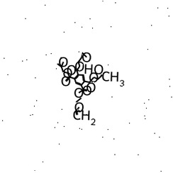 C=COCCOC(=O)c1cc(C(=O)OCC2CO2)c(C(=O)OCC2CO2)cc1C(=O)OCC(C)O